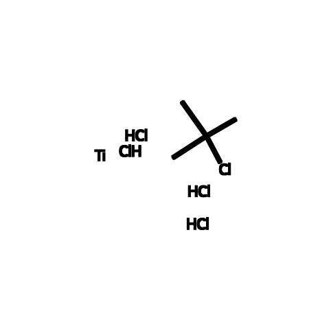 CC(C)(C)Cl.Cl.Cl.Cl.Cl.[Ti]